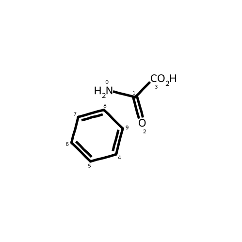 NC(=O)C(=O)O.c1ccccc1